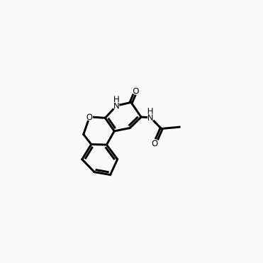 CC(=O)Nc1cc2c([nH]c1=O)OCc1ccccc1-2